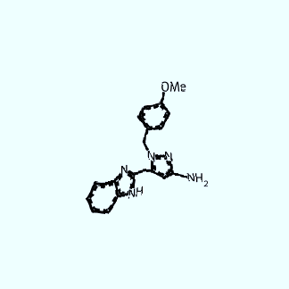 COc1ccc(Cn2nc(N)cc2-c2nc3ccccc3[nH]2)cc1